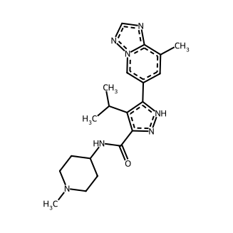 Cc1cc(-c2[nH]nc(C(=O)NC3CCN(C)CC3)c2C(C)C)cn2ncnc12